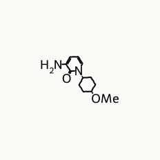 CO[C@H]1CC[C@H](n2cccc(N)c2=O)CC1